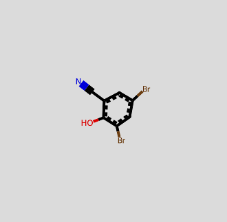 N#Cc1cc(Br)cc(Br)c1O